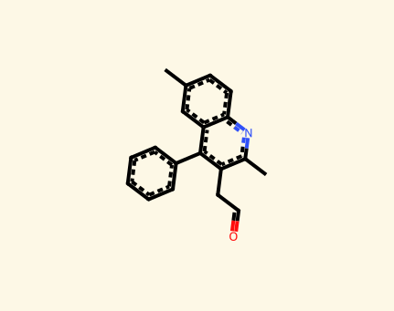 Cc1ccc2nc(C)c(CC=O)c(-c3ccccc3)c2c1